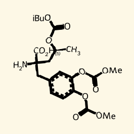 COC(=O)Oc1ccc(CC(N)(C[C@H](C)OC(=O)OCC(C)C)C(=O)O)cc1OC(=O)OC